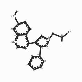 COc1[c]cc2c(-c3cn(CC(F)F)nc3-c3ccccc3)ncnc2c1